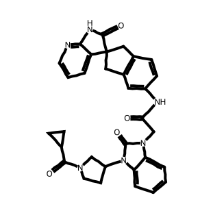 O=C(Cn1c(=O)n(C2CCN(C(=O)C3CC3)C2)c2ccccc21)Nc1ccc2c(c1)CC1(C2)C(=O)Nc2ncccc21